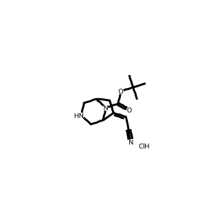 CC(C)(C)OC(=O)N1C2CNCC1C(=CC#N)C2.Cl